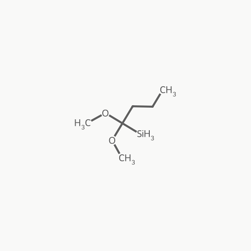 CCCC([SiH3])(OC)OC